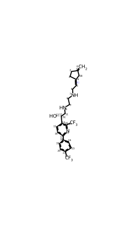 C=C1CC/C(=C\CNCCNC[C@@H](O)c2ccc(-c3ccc(C(F)(F)F)cc3)nc2C(F)(F)F)C1